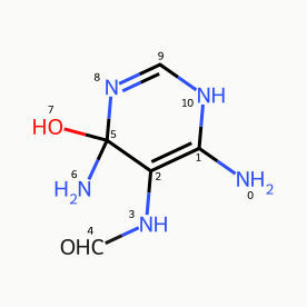 NC1=C(NC=O)C(N)(O)N=CN1